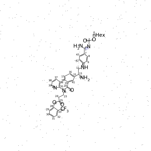 CCCCCCOC(=O)/N=C(\N)c1ccc(NCC(N)c2cccc(C(=O)N(CCC(=O)Oc3ccccc3C(F)(F)F)c3ccccn3)c2)cc1